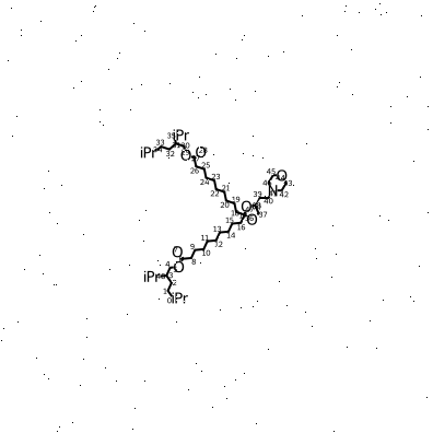 CC(C)CCC(COC(=O)CCCCCCCCCC1(CCCCCCCCCC(=O)OCC(CCC(C)C)C(C)C)OC[C@H](CCN2CCOCC2)O1)C(C)C